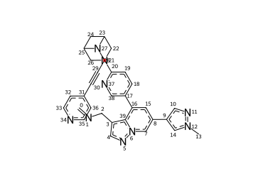 C=NCc1cnn2cc(-c3cnn(C)c3)cc(-c3ccc(N4CC5CC(C4)N5CC#Cc4ccncc4)nc3)c12